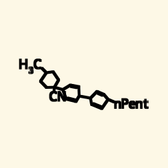 CCCCCC1C=CC(C2C=CC(C3(C#N)CCC(C)CC3)C=C2)C=C1